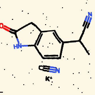 CC(C#N)c1ccc2c(c1)CC(=O)N2.[C-]#N.[K+]